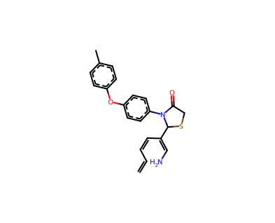 C=C/C=C\C(=C/N)C1SCC(=O)N1c1ccc(Oc2ccc(C)cc2)cc1